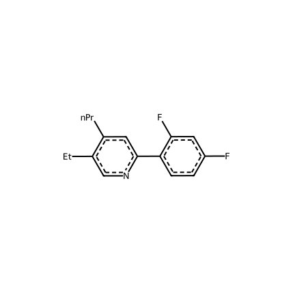 CCCc1cc(-c2ccc(F)cc2F)ncc1CC